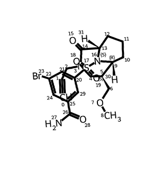 C#CCN1C[C@H](COC)[C@H]2CCC[C@@H](C1=O)N2S(=O)(=O)c1cc(Br)cc(C(N)=O)c1